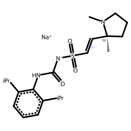 CC(C)c1cccc(C(C)C)c1NC(=O)[N-]S(=O)(=O)/C=C/[C@]1(C)CCCN1C.[Na+]